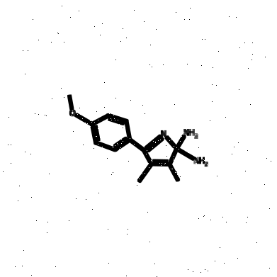 COc1ccc(C2=NC(N)(N)C(C)=C2C)cc1